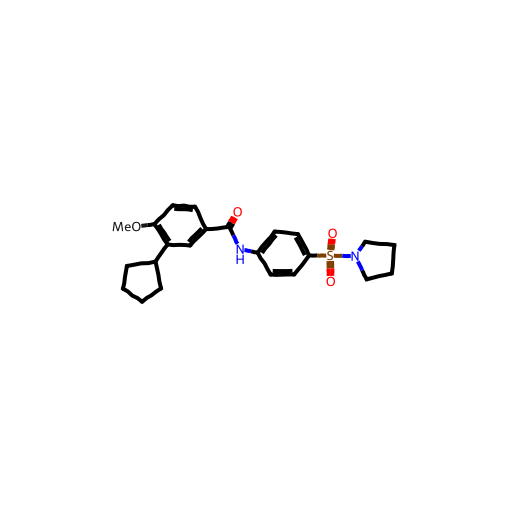 COc1ccc(C(=O)Nc2ccc(S(=O)(=O)N3CCCC3)cc2)cc1C1CCCC1